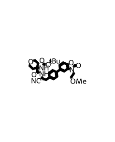 COCCn1c(=O)oc2ccc(-c3ccc(C[C@@H](C#N)NC(=O)C4(NC(=O)OC(C)(C)C)CCOCC4)cc3)cc21